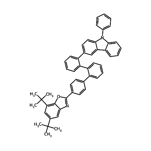 CC(C)(C)c1cc(C(C)(C)C)c2oc(-c3ccc(-c4ccccc4-c4ccccc4-c4ccc5c(c4)c4ccccc4n5-c4ccccc4)cc3)nc2c1